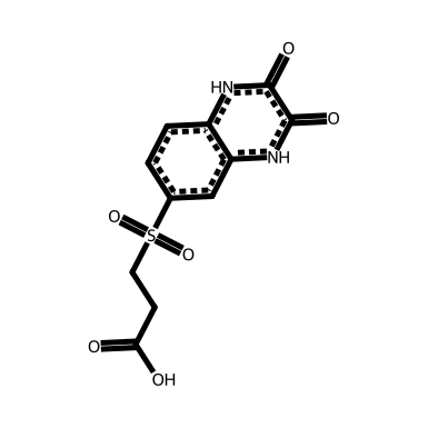 O=C(O)CCS(=O)(=O)c1ccc2[nH]c(=O)c(=O)[nH]c2c1